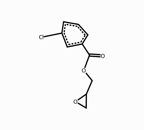 O=C(OCC1CO1)c1cccc(Cl)c1